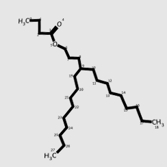 C[CH]CC(=O)OCCCC(CCCCCCCCC)CCCCCCCCC